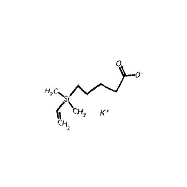 C=C[Si](C)(C)CCCCC(=O)[O-].[K+]